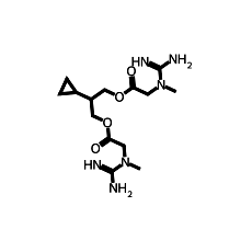 CN(CC(=O)OCC(COC(=O)CN(C)C(=N)N)C1CC1)C(=N)N